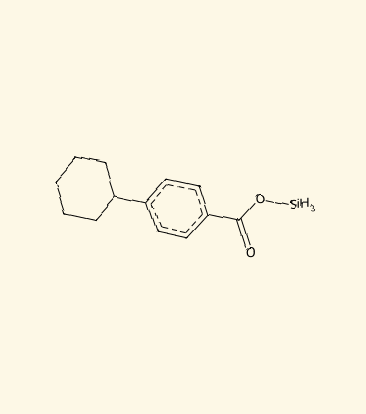 O=C(O[SiH3])c1ccc(C2CCCCC2)cc1